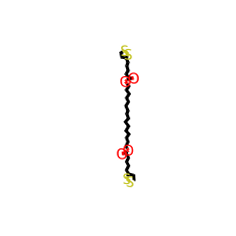 O=C(CCCCC1CCSS1)OCCCCCCCCCCCCCCCCOC(=O)CCCCC1CCSS1